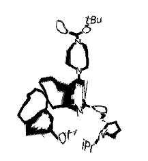 CC(C)N1CCC[C@H]1COc1nc2c(c(N3CCN(C(=O)OC(C)(C)C)CC3)n1)CCC1(CCCc3ccc(O)cc31)C2